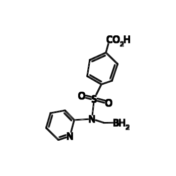 BCN(c1ccccn1)S(=O)(=O)c1ccc(C(=O)O)cc1